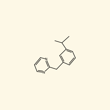 CC(C)c1cccc(Cc2ncccn2)c1